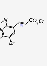 CCOC(=O)/C=C/c1cc(Br)c(Cl)nc1N